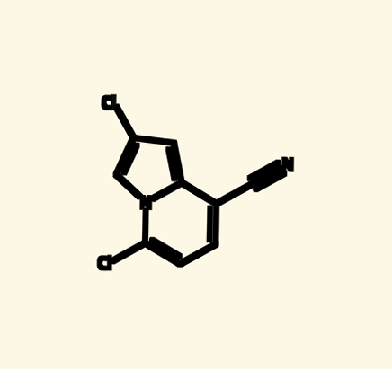 N#Cc1ccc(Cl)n2cc(Cl)cc12